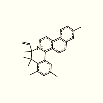 C=CC1(C)[n+]2ccc3c(ccc4cc(C)ccc43)c2-c2cc(C)cc(C)c2C1(C)C